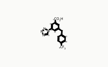 O=C(O)c1cc(Cc2ccc(C(F)(F)F)cc2)cc(-n2cnnn2)c1